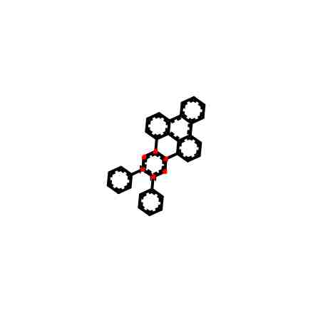 c1ccc(-c2cc(-c3cccc4c5ccccc5c5cccc(-c6ccnc(-c7ccccc7)c6)c5c34)ccn2)cc1